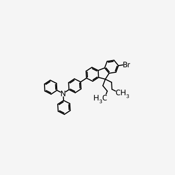 CCCC1(CCC)c2cc(Br)ccc2-c2ccc(-c3ccc(N(c4ccccc4)c4ccccc4)cc3)cc21